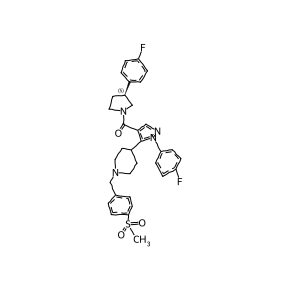 CS(=O)(=O)c1ccc(CN2CCC(c3c(C(=O)N4CC[C@@H](c5ccc(F)cc5)C4)cnn3-c3ccc(F)cc3)CC2)cc1